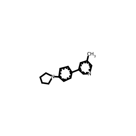 Cc1cncc(-c2ccc(N3CCCC3)cc2)c1